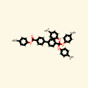 CCCCc1ccc(OC(=O)c2ccc(-c3ccc(C(Oc4ccc(CCC)cc4)(Oc4ccc(CCC)cc4)Oc4ccc(CCC)cc4)cc3)cc2)cc1